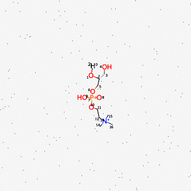 [2H]O[C@H](CO)COP(=O)(O)OCC[N+](C)(C)C